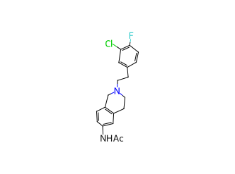 CC(=O)Nc1ccc2c(c1)CCN(CCc1ccc(F)c(Cl)c1)C2